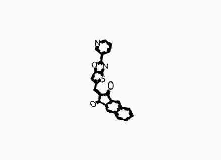 O=C1C(=Cc2cc3oc(-c4cccnc4)nc3s2)C(=O)c2cc3ccccc3cc21